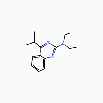 CCN(CC)c1nc(C(C)C)c2ccccc2n1